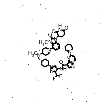 CN(C[C@H]1CC[C@H](n2cc(NC(=O)c3cnn4ccc(N5CCCCC5)nc34)c(C(F)F)n2)CC1)C1CCN(c2cccc3c2n(C)c(=O)n3C2CCC(=O)NC2=O)CC1